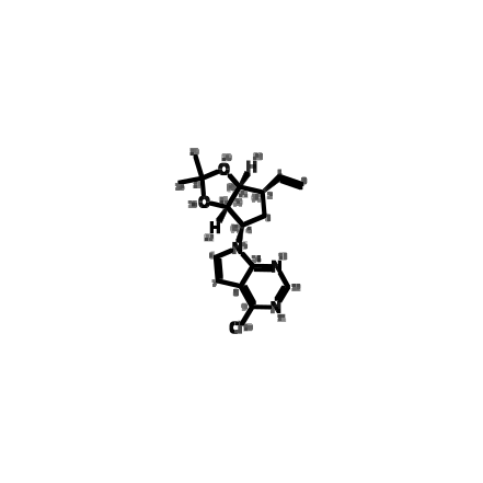 C=C[C@H]1C[C@@H](n2ccc3c(Cl)ncnc32)[C@@H]2OC(C)(C)O[C@@H]21